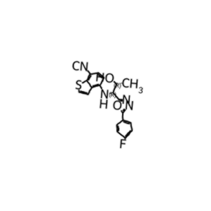 [C-]#[N+]c1ccc(N[C@@H](c2nnc(-c3ccc(F)cc3)o2)[C@@H](C)O)c2ccsc12